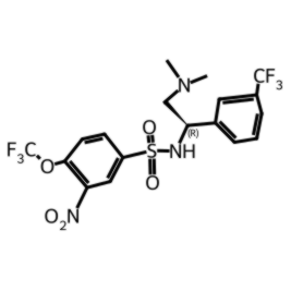 CN(C)C[C@H](NS(=O)(=O)c1ccc(OC(F)(F)F)c([N+](=O)[O-])c1)c1cccc(C(F)(F)F)c1